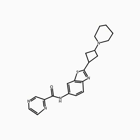 O=C(Nc1ccc2nc(C3CC(N4CCCCC4)C3)sc2c1)c1cnccn1